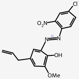 C=CCc1cc(/N=N/c2ccc(Cl)cc2[N+](=O)[O-])c(O)c(OC)c1